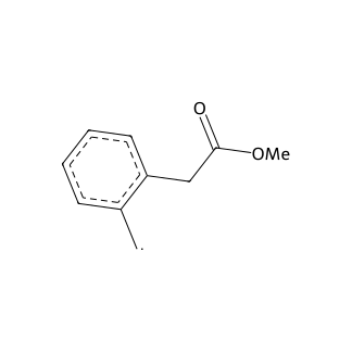 [CH2]c1ccccc1CC(=O)OC